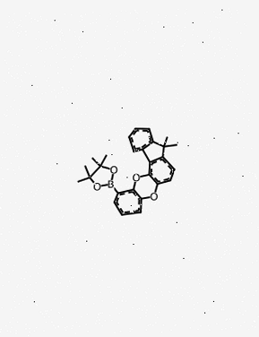 CC1(C)c2ccccc2-c2c1ccc1c2Oc2c(cccc2B2OC(C)(C)C(C)(C)O2)O1